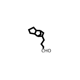 O=CCCCC1CC2CC1C1CCCC21